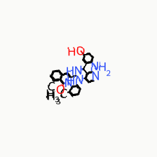 Cc1ccccc1-n1c(CNc2ccnc(N)c2C(=N)c2cccc(O)c2)cc2cccc(C)c2c1=O